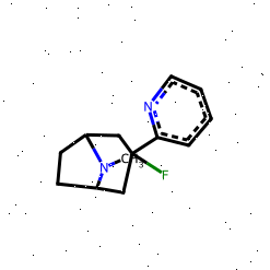 CN1C2CCC1CC(F)(c1ccccn1)C2